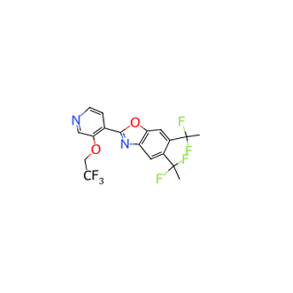 CC(F)(F)c1cc2nc(-c3ccncc3OCC(F)(F)F)oc2cc1C(C)(F)F